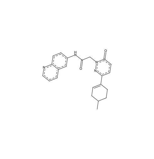 CC1CC=C(c2ccc(=O)n(CC(=O)Nc3ccc4ncccc4c3)n2)CC1